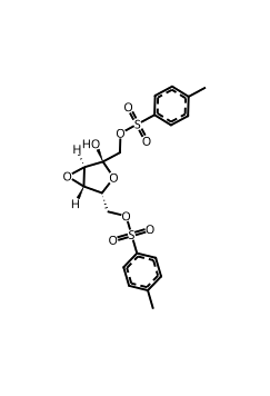 Cc1ccc(S(=O)(=O)OC[C@H]2O[C@@](O)(COS(=O)(=O)c3ccc(C)cc3)[C@@H]3O[C@H]32)cc1